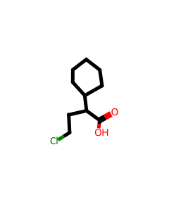 O=C(O)C(CCCl)C1CCCCC1